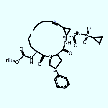 CC(C)(C)OC(=O)N[C@H]1CCCCC/C=C\C2C[C@@]2(C(=O)NS(=O)(=O)C2CC2)NC(=O)C2C[C@@H](c3ccccc3)CN2C1=O